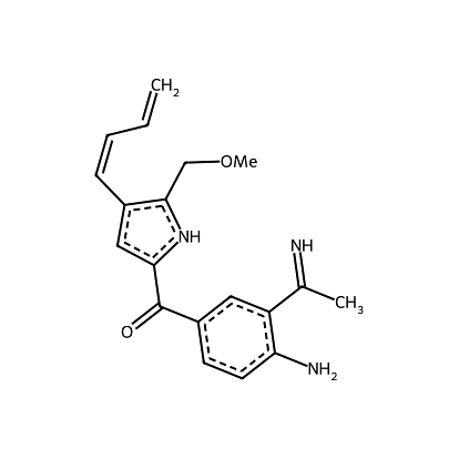 C=C/C=C\c1cc(C(=O)c2ccc(N)c(C(C)=N)c2)[nH]c1COC